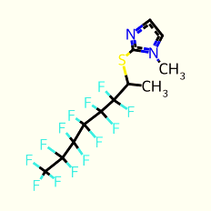 CC(Sc1nccn1C)C(F)(F)C(F)(F)C(F)(F)C(F)(F)C(F)(F)C(F)(F)F